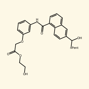 CCCCCC(O)c1ccc2c(C(=O)Nc3cccc(OCC(=O)OCCO)c3)cccc2c1